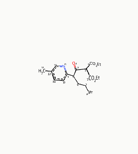 CCOC(=O)C(C(=O)OCC)C(=O)C(CCC(C)C)c1ccc(C)cn1